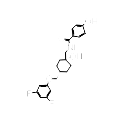 O=C(NC[C@]1(O)CC[C@H](COc2cc(F)cc(F)c2)CC1)c1ccc(O)cc1